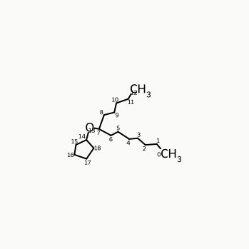 CCCCCCCC(CCCCC)OC1CCCC1